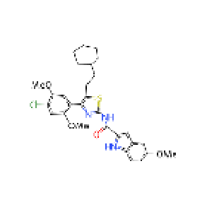 COc1ccc2[nH]c(C(=O)Nc3nc(-c4cc(OC)c(Cl)cc4OC)c(CCC4CCCCC4)s3)cc2c1